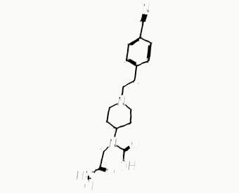 CNC(=O)CN(C(=O)O)C1CCN(CCc2ccc(C#N)cc2)CC1